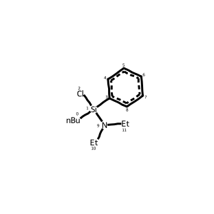 CCCC[Si](Cl)(c1ccccc1)N(CC)CC